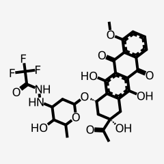 COc1cccc2c1C(=O)c1c(O)c3c(c(O)c1C2=O)C[C@@](O)(C(C)=O)C[C@@H]3OC1CC(NNC(=O)C(F)(F)F)C(O)C(C)O1